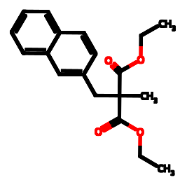 CCOC(=O)C(C)(Cc1ccc2ccccc2c1)C(=O)OCC